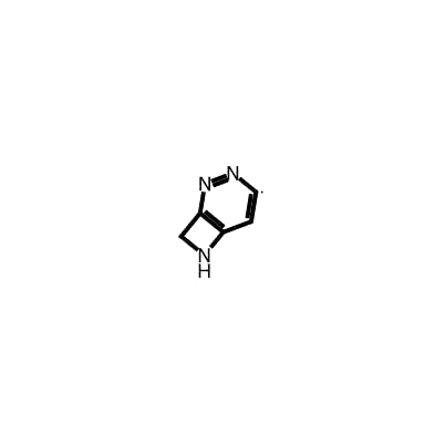 [c]1cc2c(nn1)CN2